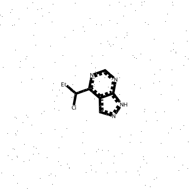 CCC(Cl)c1ncnc2[nH]ncc12